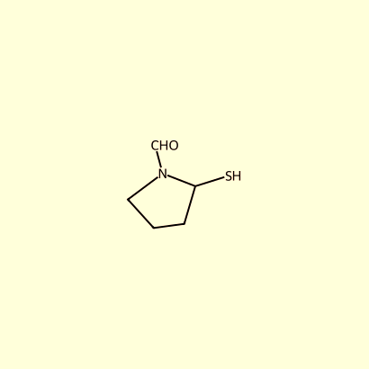 O=CN1CCCC1S